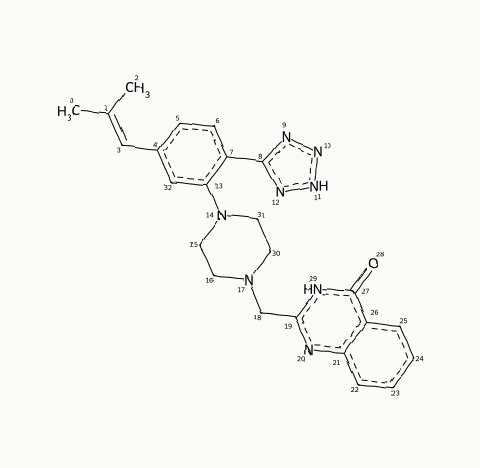 CC(C)=Cc1ccc(-c2nn[nH]n2)c(N2CCN(Cc3nc4ccccc4c(=O)[nH]3)CC2)c1